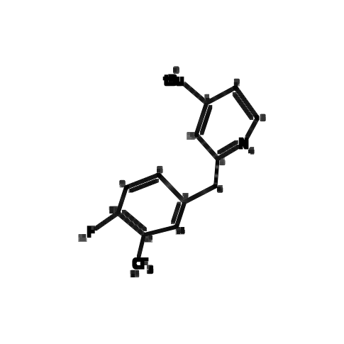 CC(C)(C)c1ccnc(Cc2ccc(F)c(C(F)(F)F)c2)c1